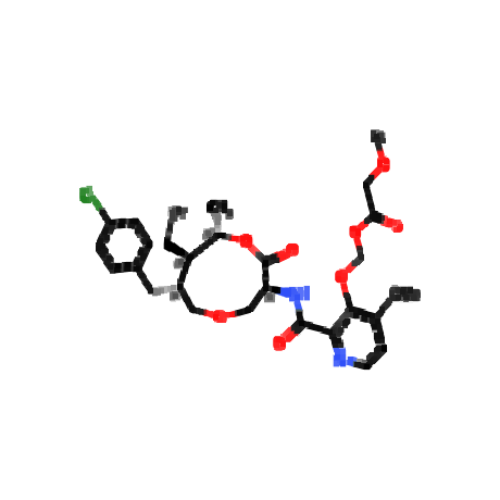 CCOCC(=O)OCOc1c(OC)ccnc1C(=O)N[C@H]1COC[C@H](Cc2ccc(Cl)cc2)[C@@H](CC(C)C)[C@H](C)OC1=O